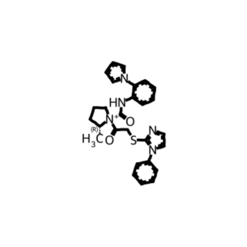 C[C@@H]1CCC[N+]1(C(=O)CSc1nccn1-c1ccccc1)C(=O)Nc1ccccc1-n1cccc1